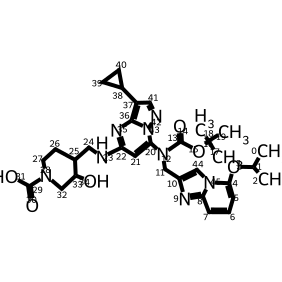 CC(C)Oc1cccc2nc(CN(C(=O)OC(C)(C)C)c3cc(NCC4CCN(C(=O)O)CC4O)nc4c(C5CC5)cnn34)cn12